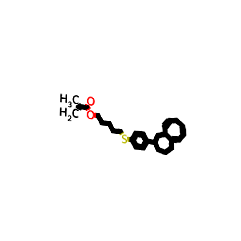 C=C(C)C(=O)OCCCCCSc1ccc(C2CCC/C3=C/C=C\CC#CC3C2)cc1